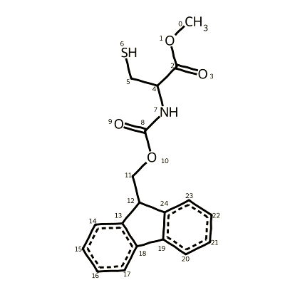 COC(=O)C(CS)NC(=O)OCC1c2ccccc2-c2ccccc21